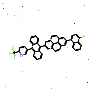 Fc1ccc(-c2cc3ccc4cc(-c5c6ccccc6c(-c6ccc(C(F)(F)F)nc6)c6ccccc56)cc5ccc(c2)c3c45)c2ccccc12